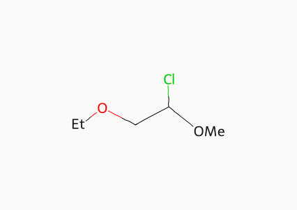 CCOCC(Cl)OC